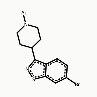 CC(=O)N1CCC(c2nsc3cc(Br)ccc23)CC1